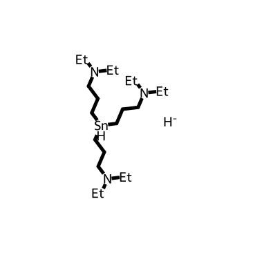 CCN(CC)CC[CH2][SnH]([CH2]CCN(CC)CC)[CH2]CCN(CC)CC.[H-]